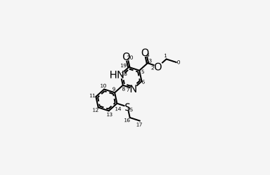 CCOC(=O)c1cnc(-c2ccccc2SCC)[nH]c1=O